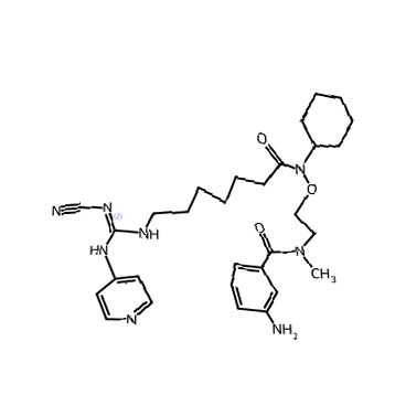 CN(CCON(C(=O)CCCCCCN/C(=N/C#N)Nc1ccncc1)C1CCCCC1)C(=O)c1cccc(N)c1